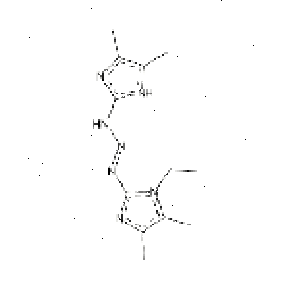 CCn1c(N=NNc2nc(C)c(C)[nH]2)nc(C)c1C